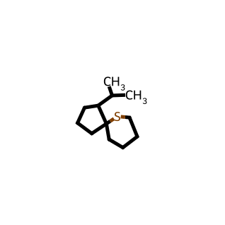 CC(C)C1CCCC12CCCCS2